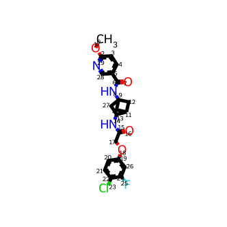 COc1ccc(C(=O)NC23CC(C2)C(NC(=O)COc2ccc(Cl)c(F)c2)C3)cn1